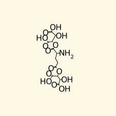 N[C@@H](CCC(=O)OC(C(=O)O)C(O)C(=O)O)C(=O)OC(C(=O)O)C(O)C(=O)O